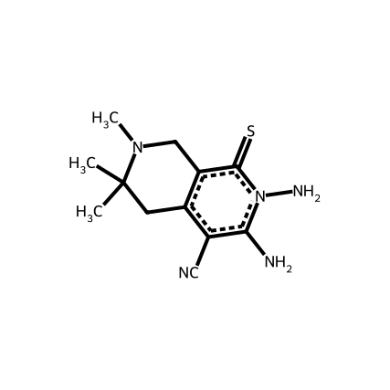 CN1Cc2c(c(C#N)c(N)n(N)c2=S)CC1(C)C